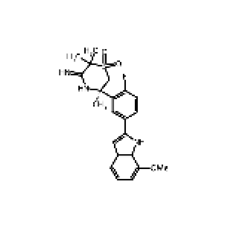 COC1=CC=CC2C=C(c3ccc(F)c([C@]4(C)CS(=O)(=O)C(C)(C)C(=N)N4)c3)NC12